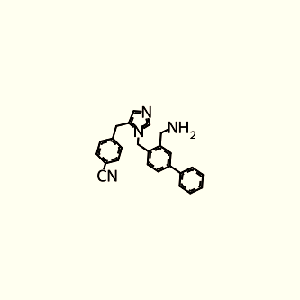 N#Cc1ccc(Cc2cncn2Cc2ccc(-c3ccccc3)cc2CN)cc1